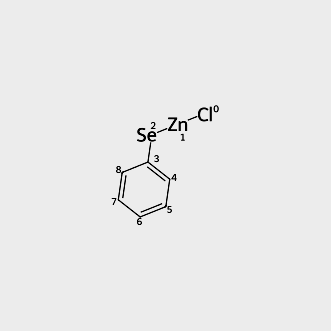 [Cl][Zn][Se]c1ccccc1